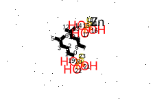 CCCCC(C)C.CCCCC(C)C.OP(O)(O)=S.OP(O)(O)=S.[Zn]